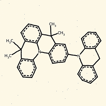 CC1(C)c2ccccc2N2c3ccc(N4c5ccccc5Cc5ccccc54)cc3C(C)(C)c3cccc1c32